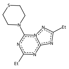 CCc1nc(N2CCSCC2)n2nc(CC)nc2n1